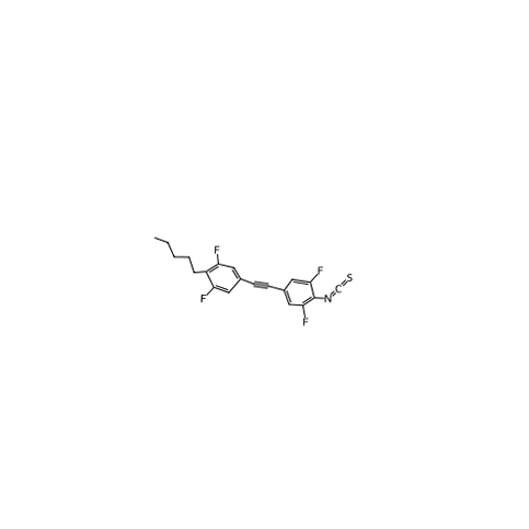 CCCCCc1c(F)cc(C#Cc2cc(F)c(N=C=S)c(F)c2)cc1F